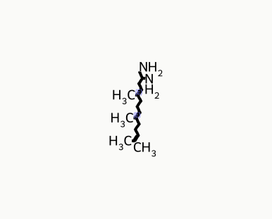 CC(C)=CCC/C(C)=C/CC/C(C)=C/CC(N)CN